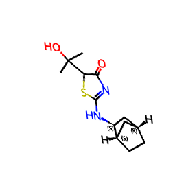 CC(C)(O)C1SC(N[C@H]2C[C@@H]3CC[C@H]2C3)=NC1=O